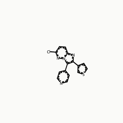 Clc1ccc2nc(-c3ccsc3)c(-c3ccncc3)n2n1